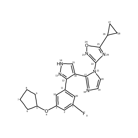 Fc1cc(OC2CCCC2)cc(-c2n[nH]cc2-c2nccn2-c2noc(C3CC3)n2)c1